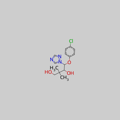 CC(C)(CO)C(O)C(Oc1ccc(Cl)cc1)n1cncn1